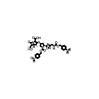 C[C@@H](O)[C@H]1C(=O)N2C(C(=O)O)=C(S[C@H]3C[C@@H](c4nc(CNC(=O)OCc5ccc([N+](=O)[O-])cc5)no4)N(C(=O)OCc4ccc([N+](=O)[O-])cc4)C3)[C@H](C)[C@H]12